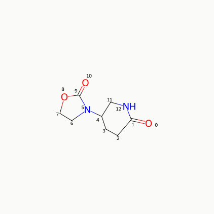 O=C1CCC(N2CCOC2=O)CN1